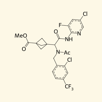 COC(=O)C12CC(C(C(=O)Nc3ncc(Cl)cc3F)N(Cc3ccc(C(F)(F)F)cc3Cl)C(C)=O)(C1)C2